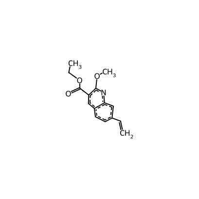 C=Cc1ccc2cc(C(=O)OCC)c(OC)nc2c1